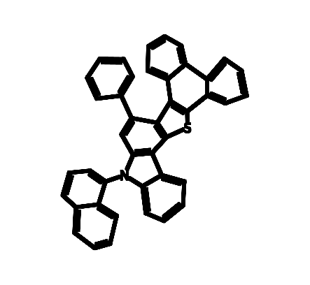 c1ccc(-c2cc3c(c4ccccc4n3-c3cccc4ccccc34)c3sc4c5ccccc5c5ccccc5c4c23)cc1